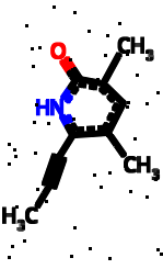 CC#Cc1[nH]c(=O)c(C)cc1C